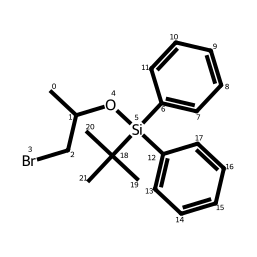 CC(CBr)O[Si](c1ccccc1)(c1ccccc1)C(C)(C)C